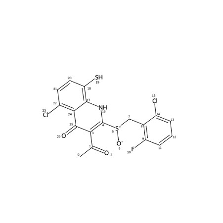 CC(=O)c1c([S+]([O-])Cc2c(F)cccc2Cl)[nH]c2c(S)ccc(Cl)c2c1=O